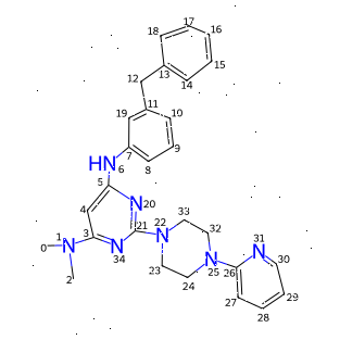 CN(C)c1cc(Nc2cccc(Cc3ccccc3)c2)nc(N2CCN(c3ccccn3)CC2)n1